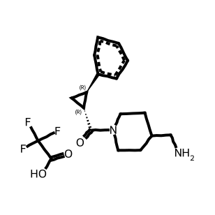 NCC1CCN(C(=O)[C@@H]2C[C@H]2c2ccccc2)CC1.O=C(O)C(F)(F)F